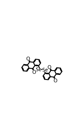 O=C1c2ccccc2C(=O)c2c([Se][Se]c3cccc4c3C(=O)c3ccccc3C4=O)cccc21